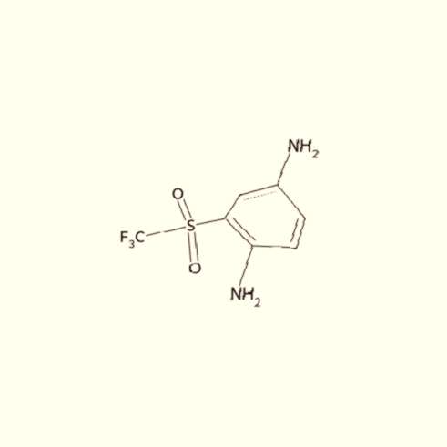 Nc1ccc(N)c(S(=O)(=O)C(F)(F)F)c1